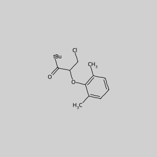 Cc1cccc(C)c1OC(CCl)C(=O)C(C)(C)C